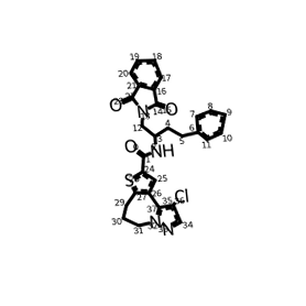 O=C(NC(CCc1ccccc1)CN1C(=O)c2ccccc2C1=O)c1cc2c(s1)CCCn1ncc(Cl)c1-2